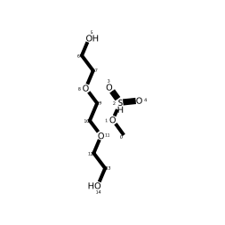 CO[SH](=O)=O.OCCOCCOCCO